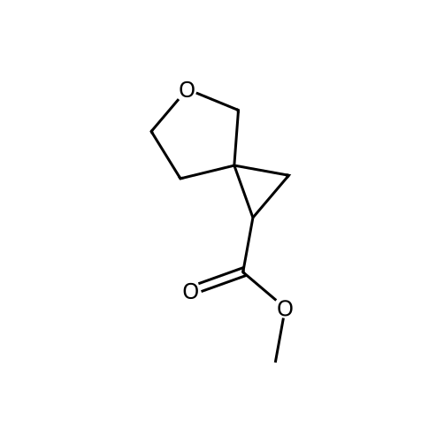 COC(=O)C1CC12CCOC2